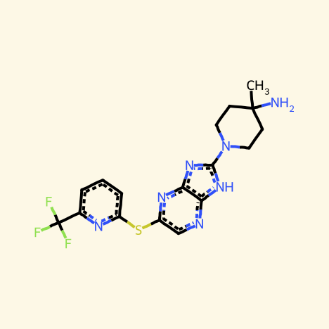 CC1(N)CCN(c2nc3nc(Sc4cccc(C(F)(F)F)n4)cnc3[nH]2)CC1